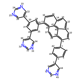 c1ncc(-c2ccc(-c3ccc4ccc5ccc(-c6cc(-c7cncnc7)cc(-c7cncnc7)c6)c6ccc3c4c56)cc2)cn1